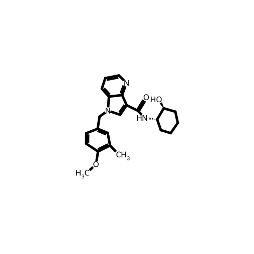 COc1ccc(Cn2cc(C(=O)N[C@H]3CCCC[C@@H]3O)c3ncccc32)cc1C